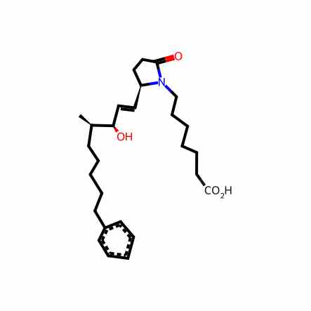 C[C@H](CCCCCc1ccccc1)[C@H](O)/C=C/[C@H]1CCC(=O)N1CCCCCCC(=O)O